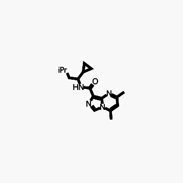 Cc1cc(C)n2cnc(C(=O)NC(CC(C)C)C3CC3)c2n1